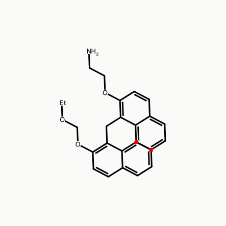 CCOCOc1ccc2ccccc2c1Cc1c(OCCN)ccc2ccccc12